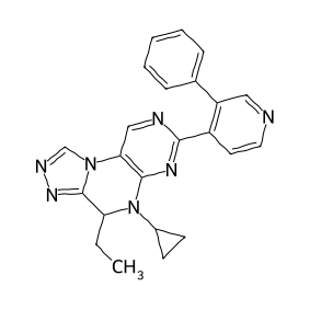 CCC1c2nncn2-c2cnc(-c3ccncc3-c3ccccc3)nc2N1C1CC1